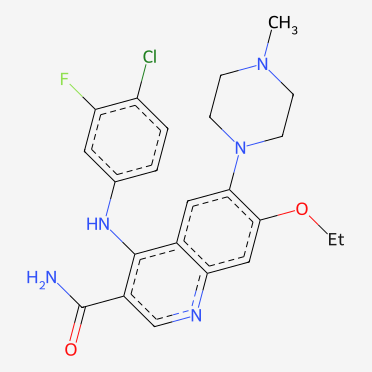 CCOc1cc2ncc(C(N)=O)c(Nc3ccc(Cl)c(F)c3)c2cc1N1CCN(C)CC1